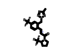 Cc1nnn(Cc2cc(C(F)(F)F)ccc2/C=C/C(=O)N2CCCC2C(F)(F)F)n1